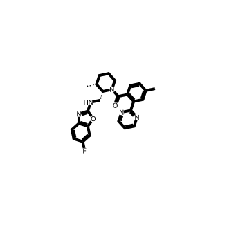 Cc1ccc(C(=O)N2CCC[C@@H](C)[C@H]2CNc2nc3ccc(F)cc3o2)c(-c2ncccn2)c1